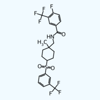 CC1(CNC(=O)c2ccc(F)c(C(F)(F)F)c2)CCC(S(=O)(=O)c2cccc(C(F)(F)F)c2)CC1